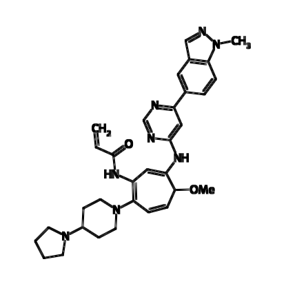 C=CC(=O)NC1=C(N2CCC(N3CCCC3)CC2)C=CC(OC)C(Nc2cc(-c3ccc4c(cnn4C)c3)ncn2)=C1